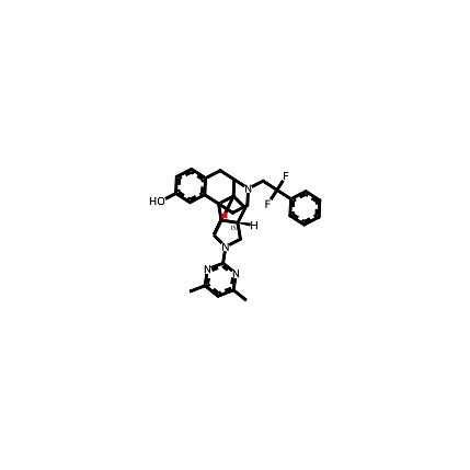 Cc1cc(C)nc(N2C[C@H]3CC45CCC2C3C42CCN(CC(F)(F)c3ccccc3)C5Cc3ccc(O)cc32)n1